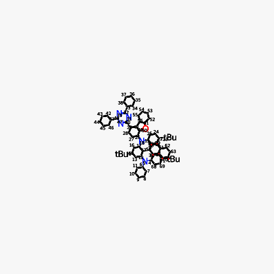 CC(C)(C)c1ccc(N(c2ccccc2)c2cc(C(C)(C)C)cc(N(c3ccc(C(C)(C)C)cc3)c3ccc(-c4nc(-c5ccccc5)nc(-c5ccccc5)n4)c4c3oc3ccccc34)c2-c2ccc3ccccc3c2)cc1